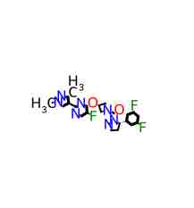 Cc1nn(C)cc1-c1ncc(F)c(OC2CN(C(=O)N3N=CC[C@H]3c3cc(F)cc(F)c3)C2)n1